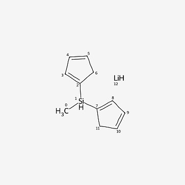 C[SiH](C1=CC=CC1)C1=CC=CC1.[LiH]